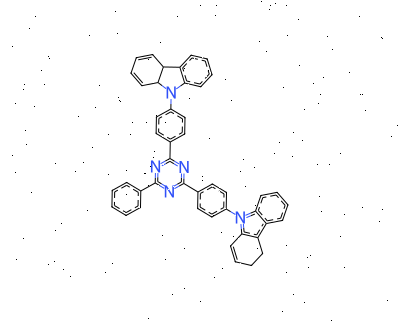 C1=CC2c3ccccc3N(c3ccc(-c4nc(-c5ccccc5)nc(-c5ccc(-n6c7c(c8ccccc86)CCC=C7)cc5)n4)cc3)C2C=C1